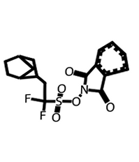 O=C1c2ccccc2C(=O)N1OS(=O)(=O)C(F)(F)CC1CC2CCC1C2